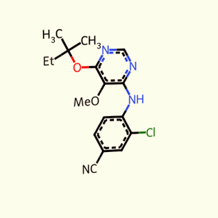 CCC(C)(C)Oc1ncnc(Nc2ccc(C#N)cc2Cl)c1OC